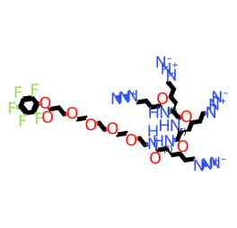 [N-]=[N+]=NCCCC[C@H](NC(=O)CCCN=[N+]=[N-])C(=O)N[C@@H](CCCCN=[N+]=[N-])C(=O)N[C@@H](CCCCN=[N+]=[N-])C(=O)NCCOCCOCCOCCOCCC(=O)Oc1c(F)c(F)c(F)c(F)c1F